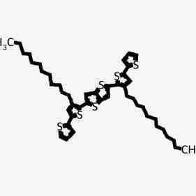 CCCCCCCCCCCCc1cc(-c2cccs2)sc1-c1cc2sc(-c3sc(-c4cccs4)cc3CCCCCCCCCCCC)cc2s1